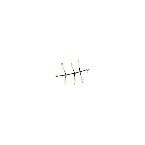 CC(=O)C(F)(F)C(F)(F)C(C)(F)F